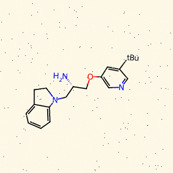 CC(C)(C)c1cncc(OC[C@@H](N)CN2CCc3ccccc32)c1